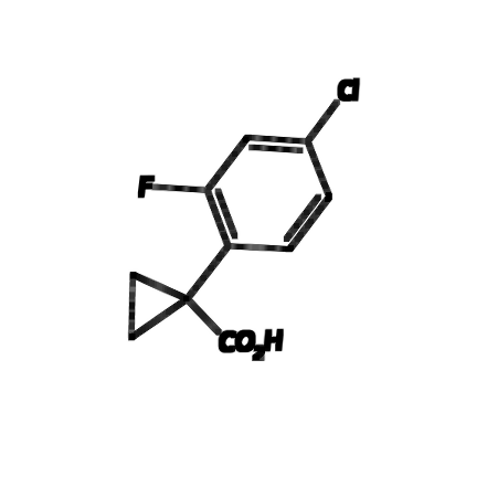 O=C(O)C1(c2ccc(Cl)cc2F)CC1